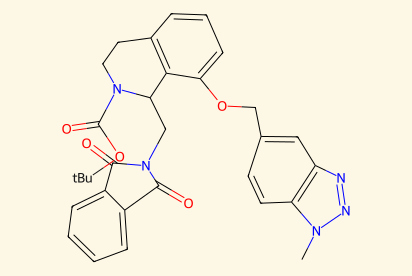 Cn1nnc2cc(COc3cccc4c3C(CN3C(=O)c5ccccc5C3=O)N(C(=O)OC(C)(C)C)CC4)ccc21